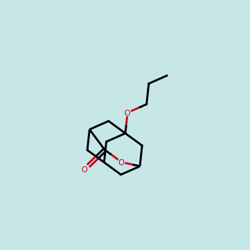 CCCOC12CC3CC(C1)OC(=O)C(C3)C2